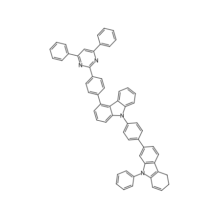 C1=Cc2c(c3ccc(-c4ccc(-n5c6ccccc6c6c(-c7ccc(-c8nc(-c9ccccc9)cc(-c9ccccc9)n8)cc7)cccc65)cc4)cc3n2-c2ccccc2)CC1